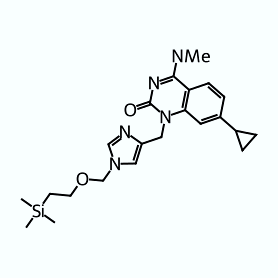 CNc1nc(=O)n(Cc2cn(COCC[Si](C)(C)C)cn2)c2cc(C3CC3)ccc12